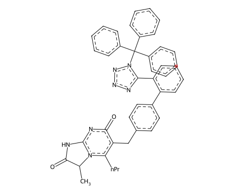 CCCc1c(Cc2ccc(-c3ccccc3-c3nnnn3C(c3ccccc3)(c3ccccc3)c3ccccc3)cc2)c(=O)nc2n1C(C)C(=O)N2